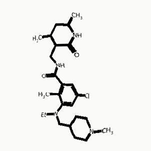 CCN(CC1CCN(C)CC1)c1cc(Cl)cc(C(=O)NCC2C(=O)NC(C)CC2C)c1C